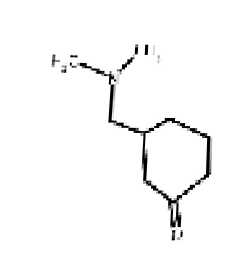 CN(C)CC1CCCC(=O)C1